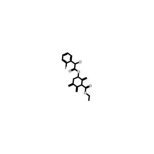 C=C1CC(OC(=O)C(Cl)c2ccccc2F)C(=C)C(C(=O)OCC)C1=C